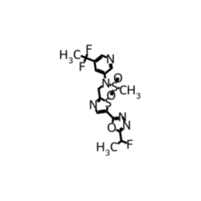 CC(F)c1nnc(-c2cnc(CN(c3cncc(C(C)(F)F)c3)S(C)(=O)=O)s2)o1